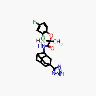 CC(C)(Oc1ccc(F)cc1Cl)C(=O)NC1C2CC3CC1CC(c1nn[nH]n1)(C3)C2